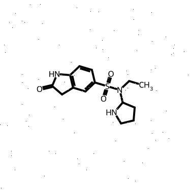 CCN(C1CCCN1)S(=O)(=O)c1ccc2c(c1)CC(=O)N2